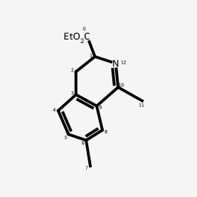 CCOC(=O)C1Cc2ccc(C)cc2C(C)=N1